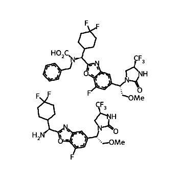 COC[C@H](c1cc(F)c2oc([C@@H](N)C3CCC(F)(F)CC3)nc2c1)N1C[C@@H](C(F)(F)F)NC1=O.COC[C@H](c1cc(F)c2oc([C@H](C3CCC(F)(F)CC3)N(Cc3ccccc3)C(=O)O)nc2c1)N1C[C@@H](C(F)(F)F)NC1=O